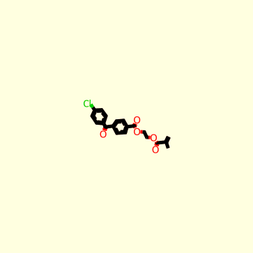 C=C(C)C(=O)OCCOC(=O)c1ccc(C(=O)c2ccc(Cl)cc2)cc1